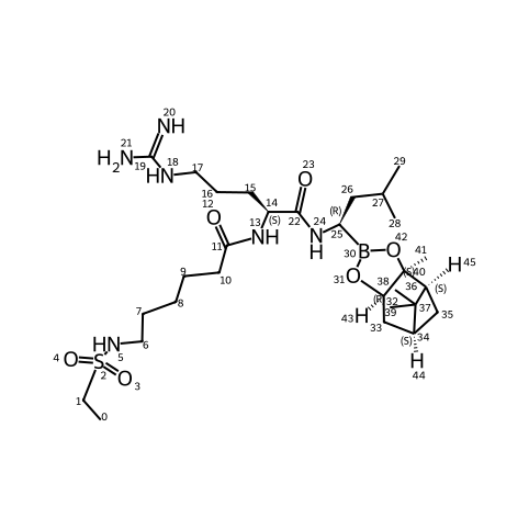 CCS(=O)(=O)NCCCCCC(=O)N[C@@H](CCCNC(=N)N)C(=O)N[C@@H](CC(C)C)B1O[C@@H]2C[C@@H]3C[C@@H](C3(C)C)[C@]2(C)O1